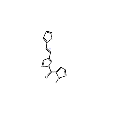 Cn1cccc1C(=O)n1ccc(/C=C/c2cccs2)n1